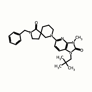 Cn1c(=O)n(CC(C)(C)C)c2ccc(N3CCCC4(CCN(Cc5ccccc5)C4=O)C3)nc21